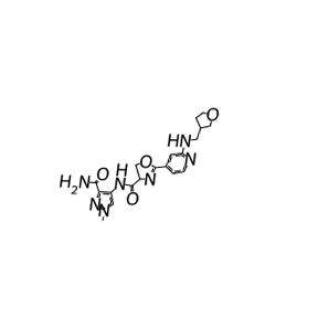 Cn1cc(NC(=O)C2COC(c3ccnc(NCC4CCOC4)c3)=N2)c(C(N)=O)n1